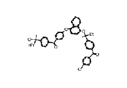 CCCC(C)(Cl)c1ccc(C(=O)c2ccc(Oc3ccc(OC(C)(CC)c4ccc(C(=O)c5ccc(Cl)cc5)cc4)c4ccccc34)cc2)cc1